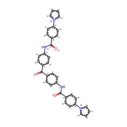 O=C(Nc1ccc(C(=O)c2ccc(NC(=O)c3ccc(-n4cccc4)cc3)cc2)cc1)c1ccc(-n2cccc2)cc1